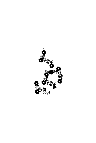 Fc1ccc(CNc2nc(N3CCN(Cc4ccccc4)CC3)nc3ccccc23)cc1.O=C(C1CC1)N1CCN(c2nc(NCc3ccc(F)cc3)c3ccccc3n2)CC1.O=C(C1CCCCC1)N1CCN(c2nc(NCc3ccc(F)cc3)c3ccccc3n2)CC1.O=C(O)C1CCCN1c1nc(NCc2ccc(F)cc2)c2ccccc2n1